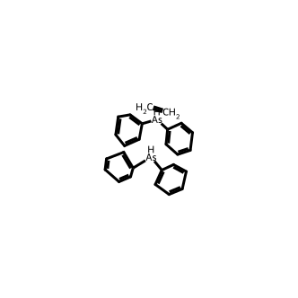 C=C.c1ccc([AsH]c2ccccc2)cc1.c1ccc([AsH]c2ccccc2)cc1